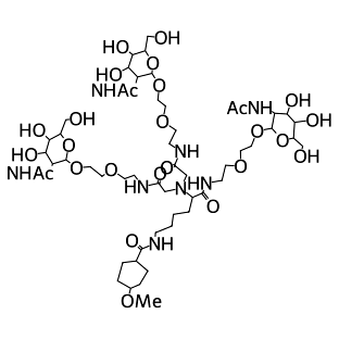 COC1CCC(C(=O)NCCCCC(C(=O)NCCOCCOC2OC(CO)C(O)C(O)C2NC(C)=O)N(CC(=O)NCCOCCOC2OC(CO)C(O)C(O)C2NC(C)=O)CC(=O)NCCOCCOC2OC(CO)C(O)C(O)C2NC(C)=O)CC1